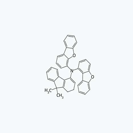 CC1(C)C2=C(C(N(c3cccc4c3oc3ccccc34)c3cccc4oc5ccccc5c34)=CCC2)c2ccccc21